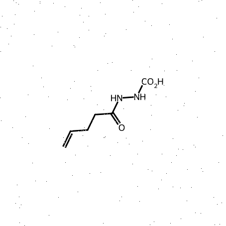 C=CCCC(=O)NNC(=O)O